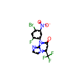 O=c1cc(C(F)(F)F)n2ccnc2n1-c1cc([N+](=O)[O-])c(Br)cc1F